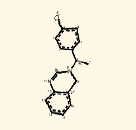 C[C@H](c1ccc(Cl)cc1)N1C=Nc2ccccc2C1